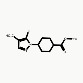 CC(C)(C)OC(=O)C1CCC(n2ncc(C(=O)O)c2Cl)CC1